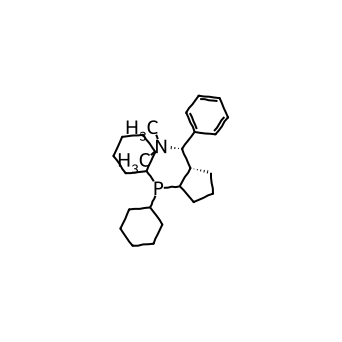 CN(C)[C@H](c1ccccc1)[C@@H]1CCCC1P(C1CCCCC1)C1CCCCC1